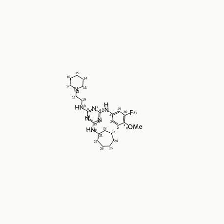 COc1ccc(Nc2nc(NCCN3CCCCC3)nc(NC3CCCCCC3)n2)cc1F